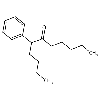 CCCCCC(=O)C(CCCC)c1ccccc1